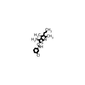 C=CCc1c(C)nc2sc(ONc3cccc(Cl)c3)c(N)c2c1C